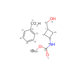 CC(C)(C)OC(=O)NC1CC(CO)C1.O=C(O)c1ccccc1